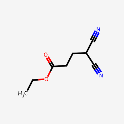 CCOC(=O)CCC(C#N)C#N